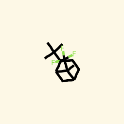 CC(C)(C)C1CCC2CC1C2(C)C(F)(F)F